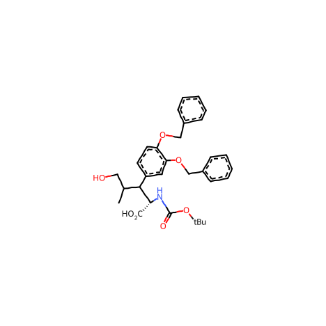 CC(CO)C(c1ccc(OCc2ccccc2)c(OCc2ccccc2)c1)[C@H](NC(=O)OC(C)(C)C)C(=O)O